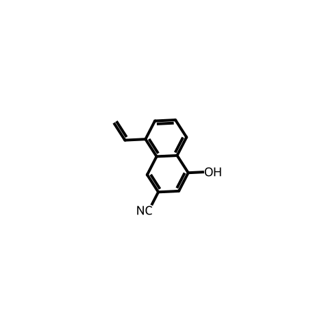 C=Cc1cccc2c(O)cc(C#N)cc12